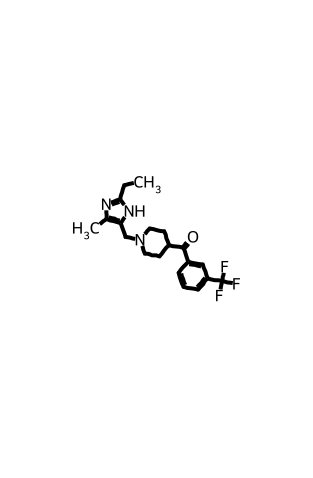 CCc1nc(C)c(CN2CCC(C(=O)c3cccc(C(F)(F)F)c3)CC2)[nH]1